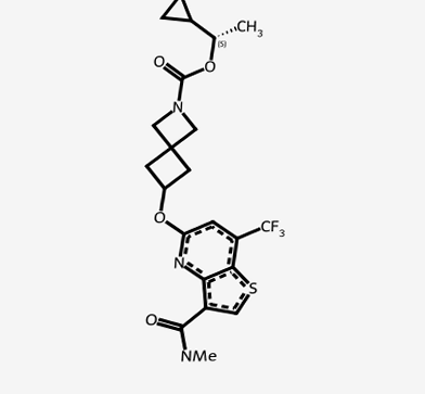 CNC(=O)c1csc2c(C(F)(F)F)cc(OC3CC4(C3)CN(C(=O)O[C@@H](C)C3CC3)C4)nc12